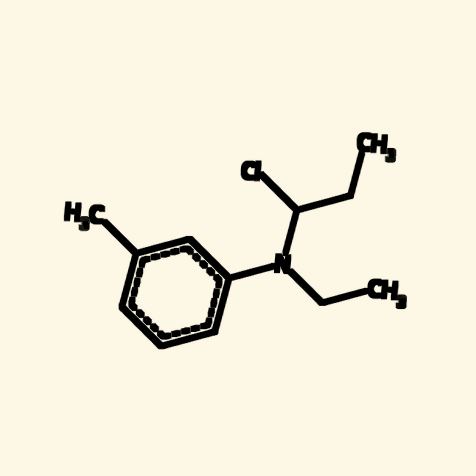 CCC(Cl)N(CC)c1cccc(C)c1